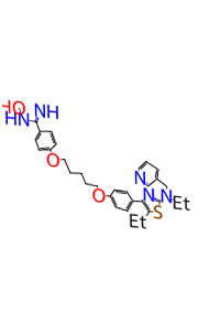 CCc1sc(N(CC)Cc2cccnc2)nc1-c1ccc(OCCCCCOc2ccc(C(=N)NO)cc2)cc1